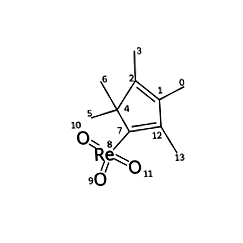 CC1=C(C)C(C)(C)[C]([Re](=[O])(=[O])=[O])=C1C